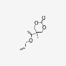 C=CCOC(=C)C1(C)COC(=O)OC1